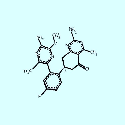 COc1nc(-c2cc(F)ccc2[C@@H]2CC(=O)c3c(C)nc(N)nc3C2)c(C)nc1N